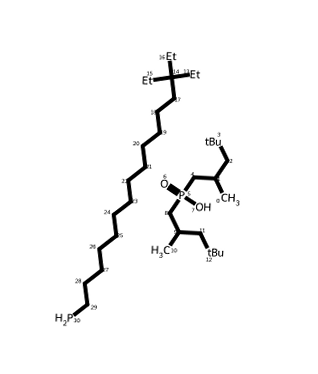 CC(CC(C)(C)C)CP(=O)(O)CC(C)CC(C)(C)C.CCC(CC)(CC)CCCCCCCCCCCCCP